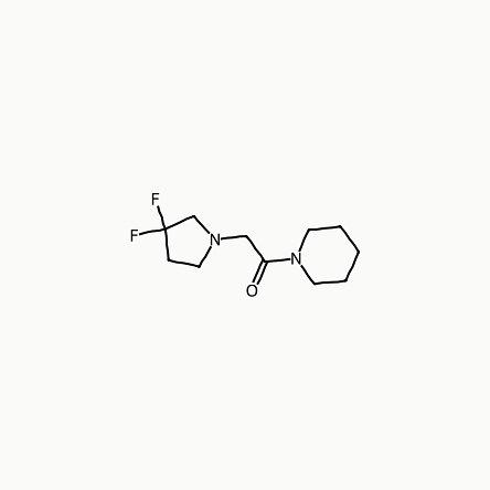 O=C(CN1CCC(F)(F)C1)N1CCCCC1